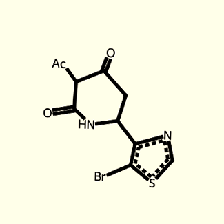 CC(=O)C1C(=O)CC(c2ncsc2Br)NC1=O